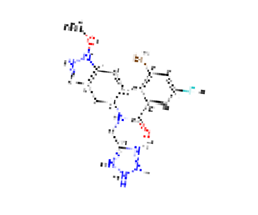 CCCCOn1ncc2cc(N(Cc3nn[nH]n3)C(=O)c3cc(F)cc(Br)c3)ccc21